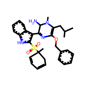 CC(C)CC1=C(OCc2ccccc2)N=C(c2c(S(=O)(=O)C3(C)C=CC=CC3)[nH]c3ccccc23)C(N)N1C